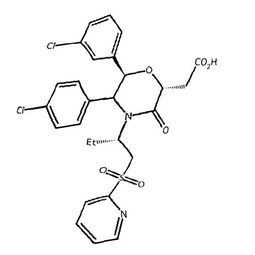 CC[C@@H](CS(=O)(=O)c1ccccn1)N1C(=O)[C@@H](CC(=O)O)O[C@H](c2cccc(Cl)c2)C1c1ccc(Cl)cc1